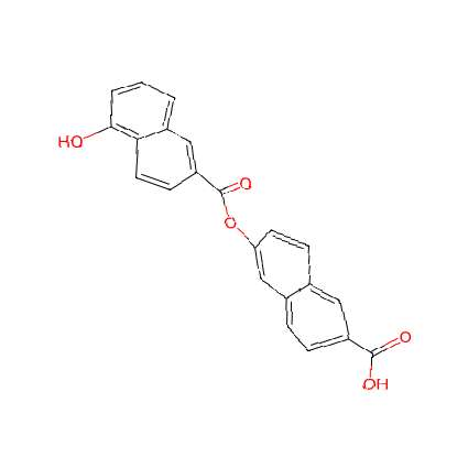 O=C(O)c1ccc2cc(OC(=O)c3ccc4c(O)cccc4c3)ccc2c1